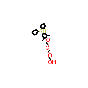 Cc1cc([SH](c2ccccc2)c2ccccc2)cc(C)c1OCCOCCOCCO